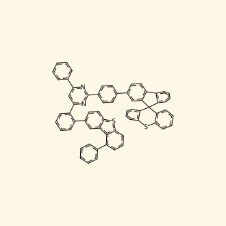 c1ccc(-c2cc(-c3ccccc3-c3ccc4sc5cccc(-c6ccccc6)c5c4c3)nc(-c3ccc(-c4ccc5c(c4)C4(c6ccccc6Sc6ccccc64)c4ccccc4-5)cc3)n2)cc1